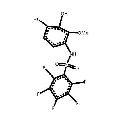 COc1c(NS(=O)(=O)c2c(F)c(F)c(F)c(F)c2F)ccc(O)c1O